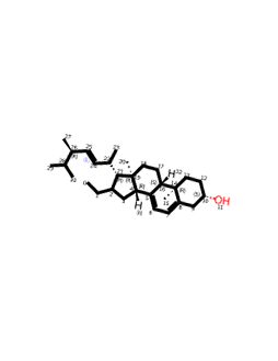 CCC1C[C@H]2C3=CC=C4C[C@@H](O)CC[C@]4(C)[C@H]3CC[C@]2(C)[C@H]1C(C)/C=C/[C@H](C)C(C)C